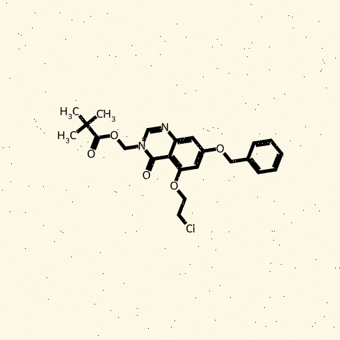 CC(C)(C)C(=O)OCn1cnc2cc(OCc3ccccc3)cc(OCCCl)c2c1=O